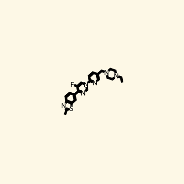 CCN1CCN(Cc2ccc(N3C=C(F)C(c4ccc5nc(C)sc5c4)=NC3)nc2)CC1